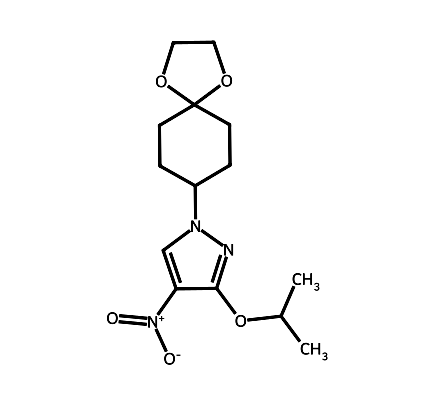 CC(C)Oc1nn(C2CCC3(CC2)OCCO3)cc1[N+](=O)[O-]